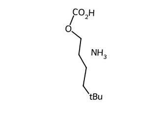 CC(C)(C)CCCCOC(=O)O.N